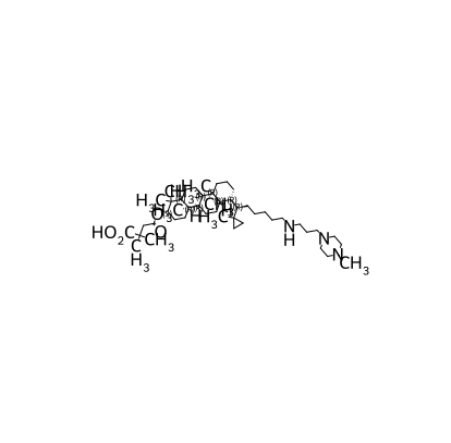 CN1CCN(CCCNCCCCC[C@H]([C@H]2CCC[C@]3(C)[C@@H]2CC[C@@H]2[C@@]4(C)CC[C@H](OC(=O)CC(C)(C)C(=O)O)C(C)(C)[C@@H]4CC[C@]23C)C2(C)CC2)CC1